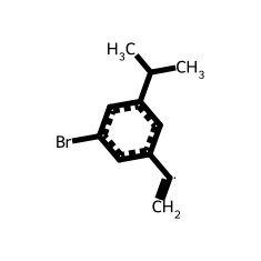 C=[C]c1cc(Br)cc(C(C)C)c1